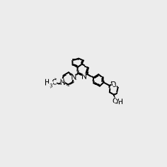 CCN1CCN(c2nc(-c3ccc(C4CC(O)CCO4)cc3)cc3ccccc23)CC1